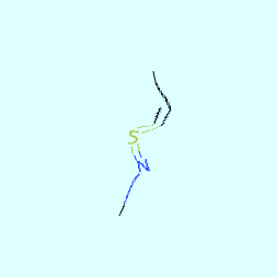 CC=S=NC